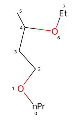 CCCOCCC(C)OCC